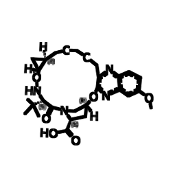 COc1ccc2nc3c(nc2c1)O[C@@H]1C[C@@H](C(=O)O)N(C1)C(=O)[C@H](C(C)(C)C)NO[C@@H]1C[C@H]1CCCCC3